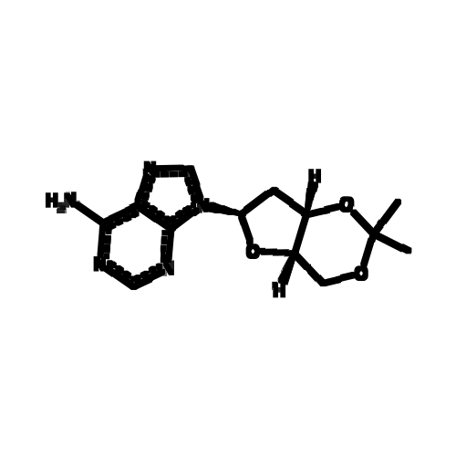 CC1(C)OC[C@@H]2O[C@@H](n3cnc4c(N)ncnc43)C[C@@H]2O1